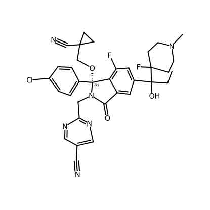 CCC(O)(c1cc(F)c2c(c1)C(=O)N(Cc1ncc(C#N)cn1)[C@@]2(OCC1(C#N)CC1)c1ccc(Cl)cc1)C1(F)CCN(C)CC1